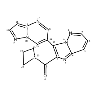 O=C(c1nc2cccnn2c1-c1cnc2ccnn2c1)N1CCC1